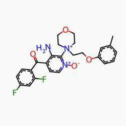 Cc1cccc(OCC[N+]2(c3c(N)c(C(=O)c4ccc(F)cc4F)cc[n+]3[O-])CCOCC2)c1